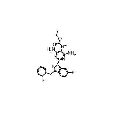 CCOC(=O)N(C)c1c(N)nc(-n2nc(Cc3ccccc3F)c3ncc(F)cc32)nc1N